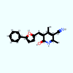 CC1=NC(=O)/C(=C\c2ccc(-c3ccccc3)o2)C(C)=C1C#N